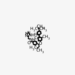 Cc1cc(OC(CC(C)C)c2ccc(C(=O)NCc3nnn[nH]3)cc2)cc(C)c1-c1ccc(C(C)(C)C)cc1